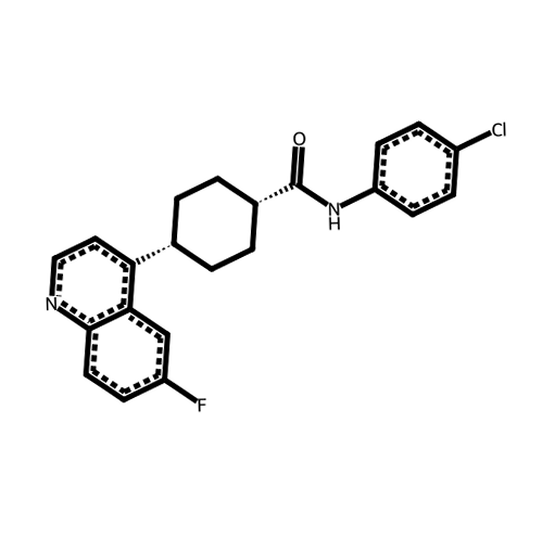 O=C(Nc1ccc(Cl)cc1)[C@H]1CC[C@@H](c2ccnc3ccc(F)cc32)CC1